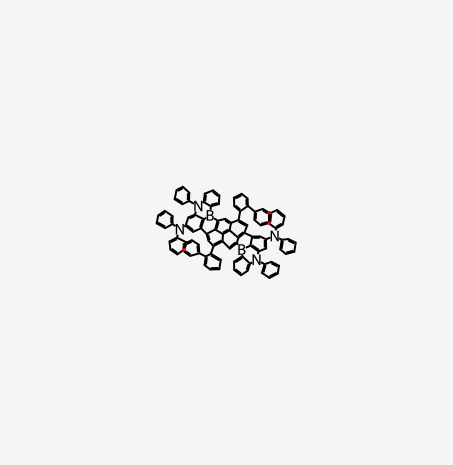 c1ccc(-c2ccccc2-c2cc3c4c(cc5c(-c6ccccc6-c6ccccc6)cc6c7c(cc2c4c57)B2c4ccccc4N(c4ccccc4)c4cc(N(c5ccccc5)c5ccccc5)cc-6c42)B2c4ccccc4N(c4ccccc4)c4cc(N(c5ccccc5)c5ccccc5)cc-3c42)cc1